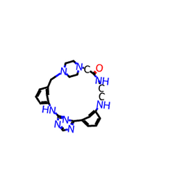 O=C1CN2CCN(CC2)Cc2cccc(c2)Nc2ncnc(n2)-c2cccc(c2)NCCN1